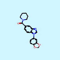 O=C(c1ccc2c(c1)ncn2-c1ccc2c(c1)OCO2)N1CCCCC1